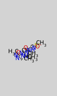 CC[C@@H](C)N(C)c1nc(-c2c(OC)ncnc2C2CC2)nc(C)c1/N=C(\C=O)NCc1ccc([S+]([O-])CC)nc1